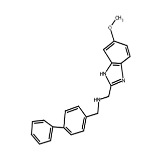 COc1ccc2nc(CNCc3ccc(-c4[c]cccc4)cc3)[nH]c2c1